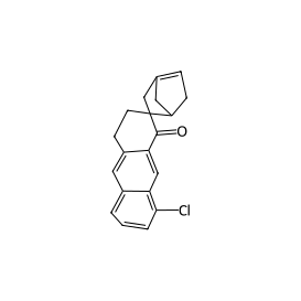 O=C1c2cc3c(Cl)cccc3cc2CCC12CC1=CCC2C1